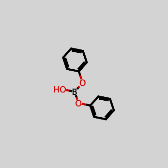 OB(Oc1ccccc1)Oc1ccccc1